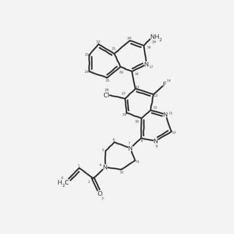 C=CC(=O)N1CCN(c2ncnc3c(F)c(-c4nc(N)cc5ccccc45)c(Cl)cc23)CC1